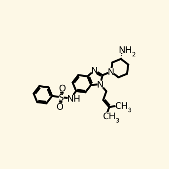 CC(C)=CCn1c(N2CCC[C@@H](N)C2)nc2ccc(NS(=O)(=O)c3ccccc3)cc21